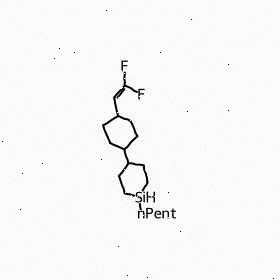 CCCCC[SiH]1CCC(C2CCC(C=C(F)F)CC2)CC1